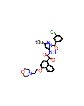 CC(C)(C)c1cc(NC(=O)C(=O)c2ccc(OCCN3CCOCC3)c3ccccc23)n(C(=O)c2cccc(Cl)c2)n1